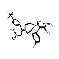 CN/C(N)=C(\C(=N)N1CCN(C(CN(C)C)c2ccc(C(F)(F)F)cc2)CC1)c1ccc(F)cc1